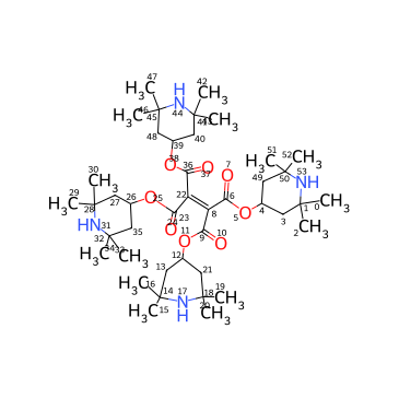 CC1(C)CC(OC(=O)C(C(=O)OC2CC(C)(C)NC(C)(C)C2)=C(C(=O)OC2CC(C)(C)NC(C)(C)C2)C(=O)OC2CC(C)(C)NC(C)(C)C2)CC(C)(C)N1